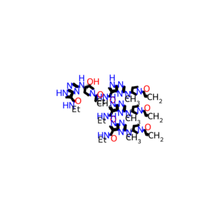 C=CC(=O)N1CCC(N(C)c2cnc3[nH]cc(C(=O)NCC)c3n2)C1.C=CC(=O)N1CC[C@@H](N(C)c2cnc3[nH]cc(C(=O)NCC)c3n2)C1.C=CC(=O)N1CC[C@H](N(C)c2cnc3[nH]cc(C(=O)NCC)c3n2)C1.C=CC(=O)N1CC[C@H](Nc2cnc3[nH]cc(C(=O)NCC)c3n2)[C@@H](O)C1